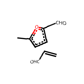 C=CC=O.Cc1ccc(C=O)o1